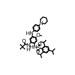 COc1cc(NS(=O)(=O)c2c(C(C)C)cc(C(C)C)cc2C(C)C)c(NC(=O)C(C)(C)C)cc1Nc1ccc(N2CCCCC2)cc1